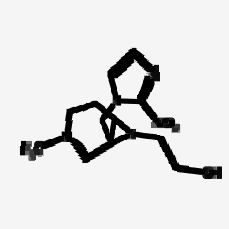 CN1CCC2N(CCO)C2(Cn2ccnc2[N+](=O)[O-])C1